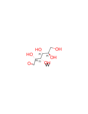 O=C[C@H](O)[C@@H](O)[C@H](O)[C@H](O)CO.[W]